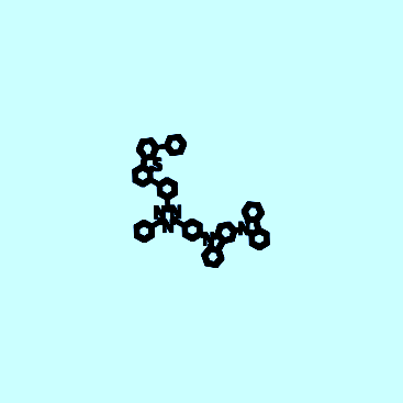 c1ccc(-c2nc(-c3ccc(-n4c5ccccc5c5cc(-n6c7ccccc7c7ccccc76)ccc54)cc3)nc(-c3cccc(-c4cccc5c4sc4c(-c6ccccc6)cccc45)c3)n2)cc1